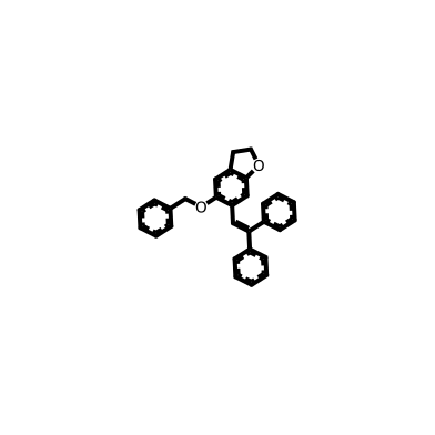 C(=C(c1ccccc1)c1ccccc1)c1cc2c(cc1OCc1ccccc1)CCO2